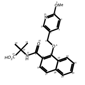 COc1ccc(COc2c(C(=O)NC(C)(C)C(=O)O)ccc3ccccc23)cn1